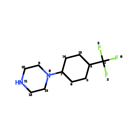 FC(F)(F)C1CCC(N2CCNCC2)CC1